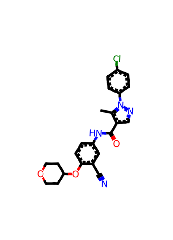 Cc1c(C(=O)Nc2ccc(OC3CCOCC3)c(C#N)c2)cnn1-c1ccc(Cl)cc1